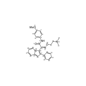 COc1ccc(NC(=O)C(=NOCCN(C)C)c2c(-c3ccccc3)cc3ccccn23)cc1